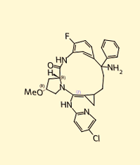 CO[C@@H]1C[C@@H]2C(=O)Nc3cc(ccc3F)C(N)(c3ccccc3)CCC3C/C3=C(\Nc3ccc(Cl)cn3)N2C1